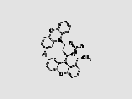 CCc1cccc2c1N(C(CCN1c3ccccc3Oc3ccc(Cl)cc31)O[SH](=O)=O)c1ccccc1O2